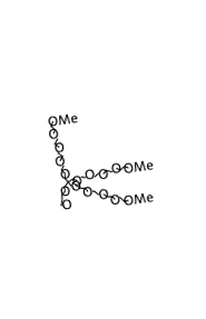 COCCOCCOCCOCCOCC(COCCOCCOCCOCCOC)(COCCOCCOCCOCCOC)COCC1CO1